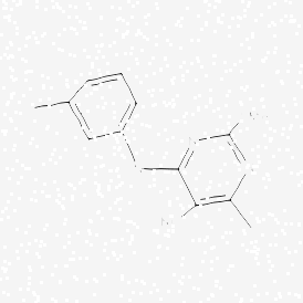 CSc1nc(C)c(C#N)c(Nc2cccc(C)c2)n1